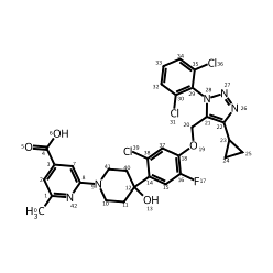 Cc1cc(C(=O)O)cc(N2CCC(O)(c3cc(F)c(OCc4c(C5CC5)nnn4-c4c(Cl)cccc4Cl)cc3Cl)CC2)n1